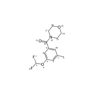 Cc1cc(OC(F)F)cc(C(=O)N2CCOCC2)c1